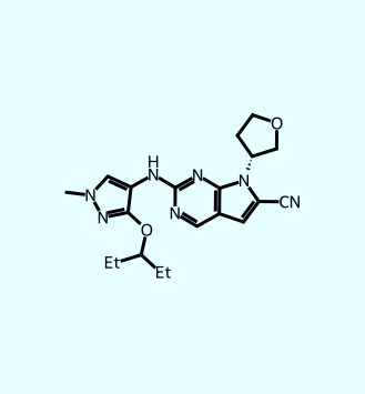 CCC(CC)Oc1nn(C)cc1Nc1ncc2cc(C#N)n([C@@H]3CCOC3)c2n1